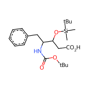 CC(C)(C)OC(=O)NC(Cc1ccccc1)C(CC(=O)O)O[Si](C)(C)C(C)(C)C